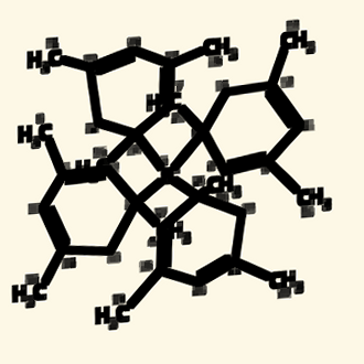 CC1=CC(C)([B-](C2(C)C=C(C)C=C(C)C2)(C2(C)C=C(C)C=C(C)C2)C2(C)C=C(C)C=C(C)C2)CC(C)=C1